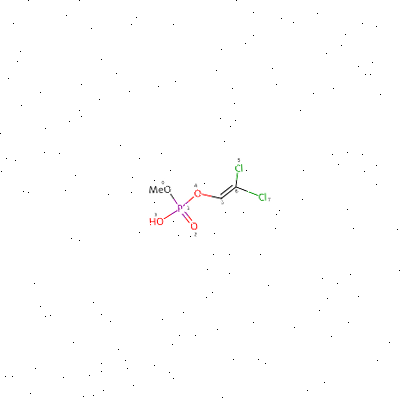 COP(=O)(O)OC=C(Cl)Cl